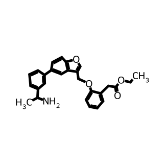 CCOC(=O)Cc1ccccc1OCc1coc2ccc(-c3cccc(C(C)N)c3)cc12